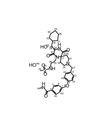 CNC(=O)c1ccc(Oc2ccc(CN3CCC4(CC3)C(=O)N[C@H]([C@H](O)C3CCCCC3)C(=O)N4CCNS(C)(=O)=O)cc2)cc1.Cl